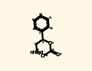 CCCCCCCCC(OC(=O)Cl)c1ccccc1